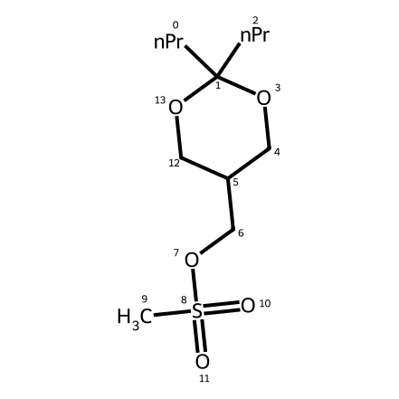 CCCC1(CCC)OCC(COS(C)(=O)=O)CO1